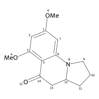 COc1cc(OC)c2c(c1)N1CCCC1CC2=O